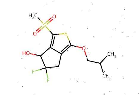 CC(COc1sc(S(C)(=O)=O)c2c1CC(F)(F)C2O)C(F)(F)F